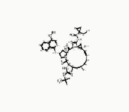 CCOc1cnc(O[C@@H]2C[C@H]3C(=O)N[C@]4(C(=O)N[S+]([O-])C5(CF)CC5)C[C@H]4/C=C\CC[C@@H](C)C[C@@H](C)[C@H](NC(=O)OC(C)(C)C(F)(F)F)C(=O)N3C2)c2ccccc12